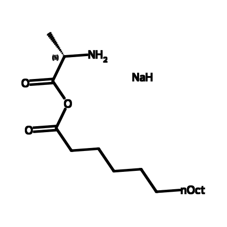 CCCCCCCCCCCCCC(=O)OC(=O)[C@H](C)N.[NaH]